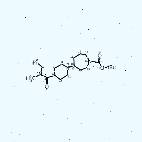 CC(C)CN(C)C(=O)C1CCN([C@H]2CCCN(C(=O)OC(C)(C)C)CC2)CC1